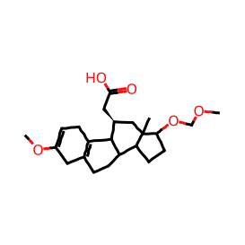 COCOC1CCC2C3CCC4=C(CC=C(OC)C4)C3[C@@H](CC(=O)O)CC12C